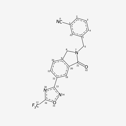 N#Cc1cccc(CN2Cc3ccc(-c4noc(C(F)(F)F)n4)cc3C2=O)c1